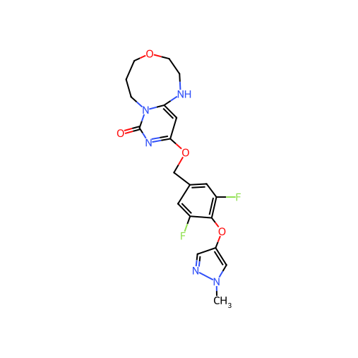 Cn1cc(Oc2c(F)cc(COc3cc4n(c(=O)n3)CCCOCCN4)cc2F)cn1